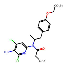 CCOC(=O)COc1ccc(CC(C)N(C(=O)COC(C)=O)c2cc(Cl)c(N)c(Cl)n2)cc1